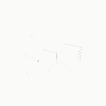 CCCC1(C(C)C)Cc2ccccc2C1O